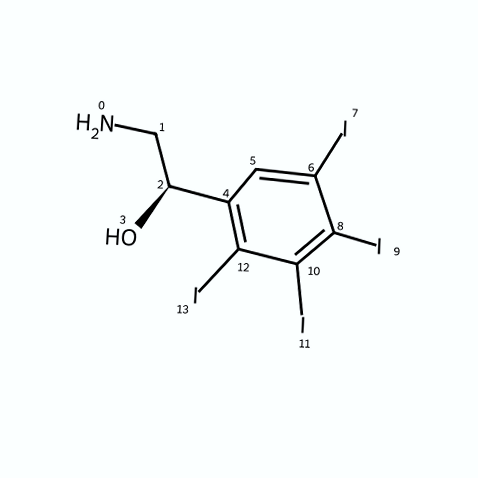 NC[C@H](O)c1cc(I)c(I)c(I)c1I